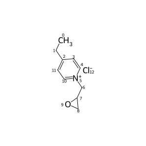 CCc1cc[n+](CC2CO2)cc1.[Cl-]